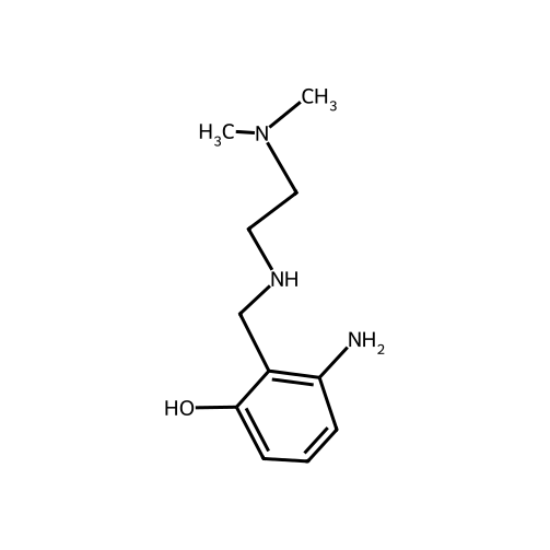 CN(C)CCNCc1c(N)cccc1O